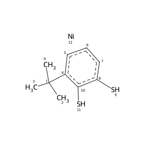 CC(C)(C)c1cccc(S)c1S.[Ni]